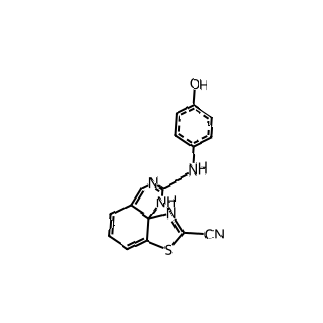 N#CC1=NC23NC(Nc4ccc(O)cc4)=NC=C2C=CC=C3S1